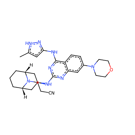 Cc1cc(Nc2nc(N[C@@H]3C[C@H]4CCC[C@@H](C3)N4CCC#N)nc3cc(N4CCOCC4)ccc23)n[nH]1